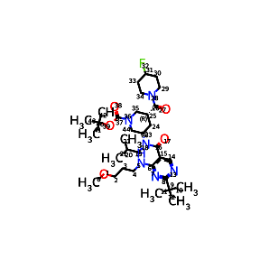 COCCCNc1nc(C(C)(C)C)ncc1C(=O)N(CC(C)C)[C@H]1C[C@@H](C(=O)N2CCC(F)CC2)CN(C(=O)OC(C)(C)C)C1